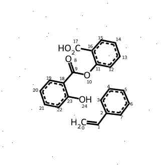 C=Cc1ccccc1.O=C(Oc1ccccc1C(=O)O)c1ccccc1O